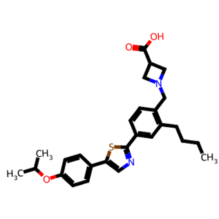 CCCCc1cc(-c2ncc(-c3ccc(OC(C)C)cc3)s2)ccc1CN1CC(C(=O)O)C1